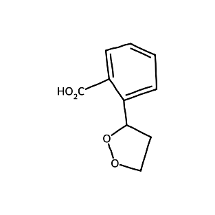 O=C(O)c1ccccc1C1CCOO1